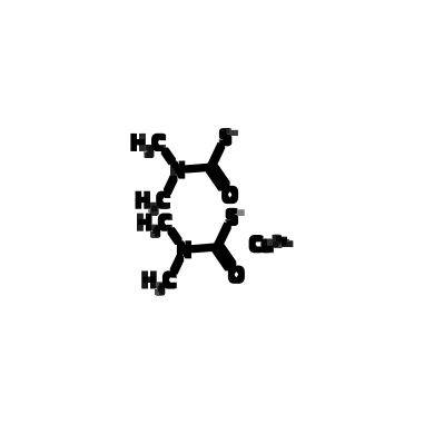 CN(C)C(=O)[S-].CN(C)C(=O)[S-].[Cu+2]